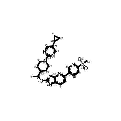 CC(Oc1nc2ccc(-c3ccc(S(C)(=O)=O)nc3)nc2s1)C1CCN(c2ncc(C3CC3)cn2)CC1